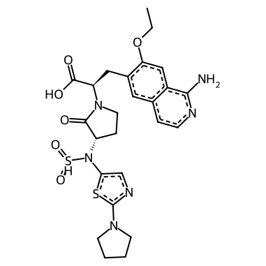 CCOc1cc2c(N)nccc2cc1C[C@H](C(=O)O)N1CC[C@H](N(c2cnc(N3CCCC3)s2)[SH](=O)=O)C1=O